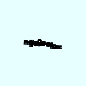 CCCCCCCCCCSc1ccc(-c2ccc(C(=O)Oc3ccc(-c4ncc(CC)cn4)cc3)cc2)cc1